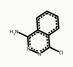 Nc1nnc(Cl)c2ccccc12